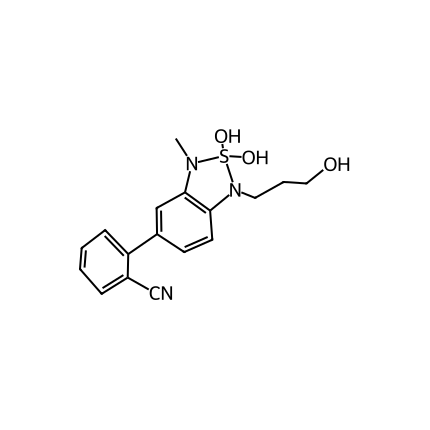 CN1c2cc(-c3ccccc3C#N)ccc2N(CCCO)S1(O)O